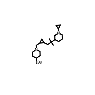 CC(C)(C)C1CCN(CC2CC2CC(C)(C)C2CCCN(C3CC3)C2)CC1